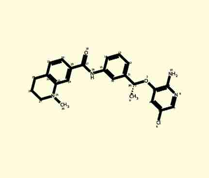 C[C@@H](Oc1cc(Cl)cnc1N)c1cccc(NC(=O)c2ccc3c(c2)N(C)CCC3)c1